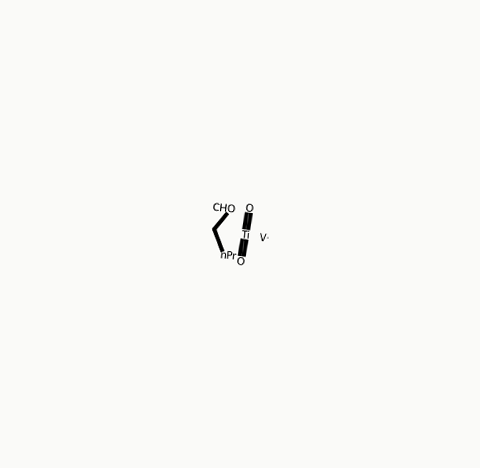 CCCCC=O.[O]=[Ti]=[O].[V]